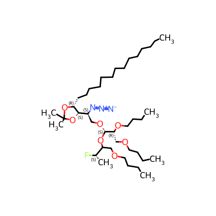 CCCCCCCCCCCCCC[C@H]1OC(C)(C)O[C@H]1[C@H](CO[C@@H](OC(COCCCC)[C@H](C)F)[C@@H](COCCCC)OCCCC)N=[N+]=[N-]